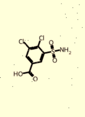 NS(=O)(=O)c1cc(C(=O)O)cc(Cl)c1Cl